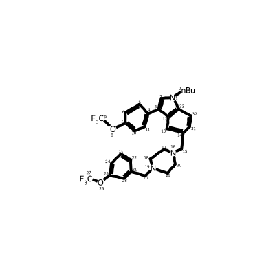 CCCCn1cc(-c2ccc(OC(F)(F)F)cc2)c2cc(CN3CCN(Cc4cccc(OC(F)(F)F)c4)CC3)ccc21